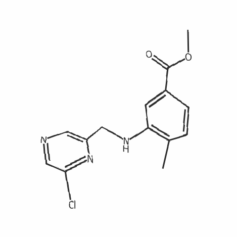 COC(=O)c1ccc(C)c(NCc2cncc(Cl)n2)c1